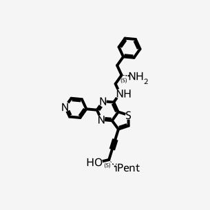 CCCC(C)[C@H](O)C#Cc1csc2c(NC[C@@H](N)Cc3ccccc3)nc(-c3ccncc3)nc12